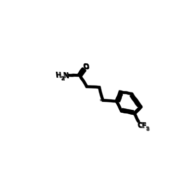 NC(=O)CC[CH]c1cccc(C(F)(F)F)c1